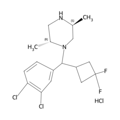 C[C@@H]1CN[C@@H](C)CN1C(c1ccc(Cl)c(Cl)c1)C1CC(F)(F)C1.Cl